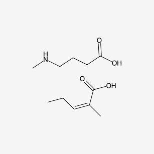 CCC=C(C)C(=O)O.CNCCCC(=O)O